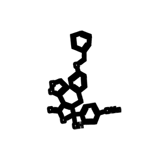 COc1ccc(C2(O)OC(=O)C(C3=CCOO3)=C2Cc2ccc(OCc3ccccc3)cc2)cc1